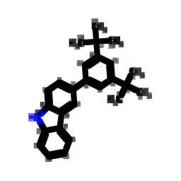 CC(C)(C)c1cc(-c2ccc3[nH]c4ccccc4c3c2)cc(C(C)(C)C)c1